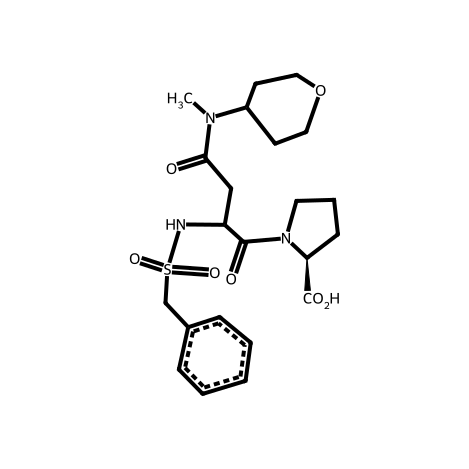 CN(C(=O)CC(NS(=O)(=O)Cc1ccccc1)C(=O)N1CCC[C@H]1C(=O)O)C1CCOCC1